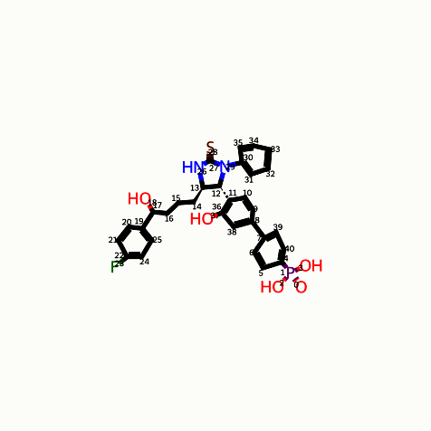 O=P(O)(O)c1ccc(-c2ccc([C@@H]3[C@@H](CCCC(O)c4ccc(F)cc4)NC(=S)N3c3ccccc3)c(O)c2)cc1